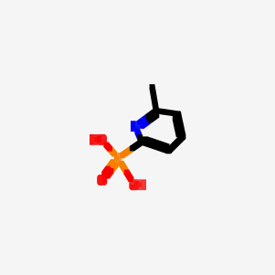 Cc1cccc(P(=O)(O)O)n1